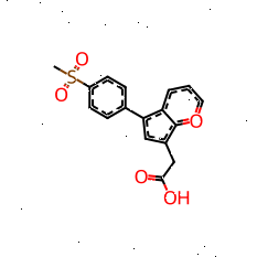 CS(=O)(=O)c1ccc(-c2cc(CC(=O)O)c3occcc2-3)cc1